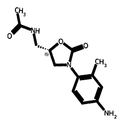 CC(=O)NC[C@H]1CN(c2ccc(N)cc2C)C(=O)O1